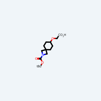 CC(C)(C)OC(=O)N1CC2(CCC(OCC(=O)O)CC2)C1